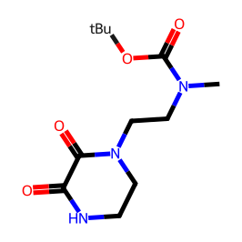 CN(CCN1CCNC(=O)C1=O)C(=O)OC(C)(C)C